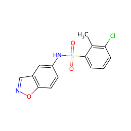 Cc1c(Cl)cccc1S(=O)(=O)Nc1ccc2oncc2c1